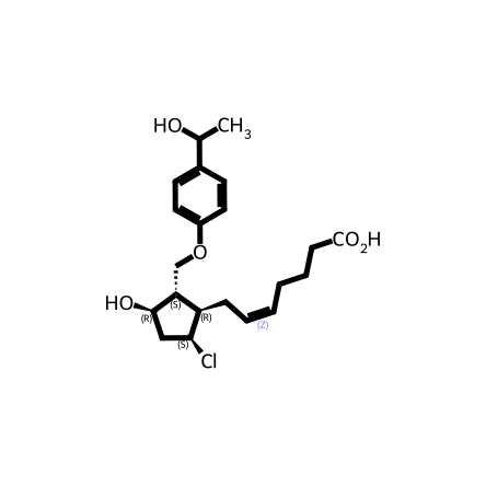 CC(O)c1ccc(OC[C@@H]2[C@@H](C/C=C\CCCC(=O)O)[C@@H](Cl)C[C@H]2O)cc1